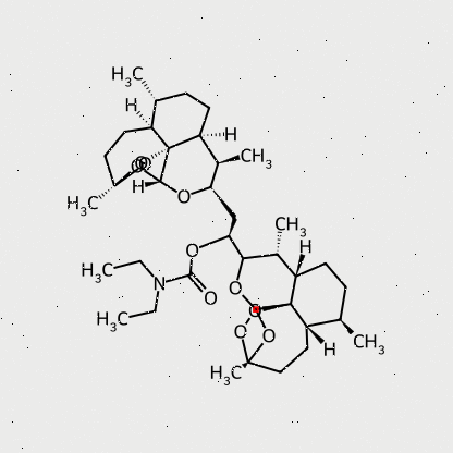 CCN(CC)C(=O)O[C@@H](C[C@H]1O[C@@H]2O[C@]3(C)CC[C@H]4[C@H](C)CC[C@@H]([C@H]1C)[C@@]24OO3)C1OC2O[C@]3(C)CC[C@H]4[C@H](C)CC[C@@H]([C@H]1C)[C@@]24OO3